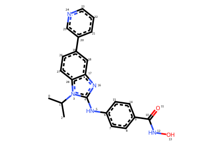 CC(C)n1c(Nc2ccc(C(=O)NO)cc2)nc2cc(-c3cccnc3)ccc21